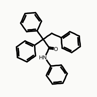 O=C(Nc1ccccc1)C(Cc1ccccc1)(c1ccccc1)c1ccccc1